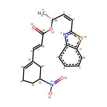 C[C@H](/C=C\c1nc2ccccc2s1)OC(=O)/C=C/C1=CCCC([N+](=O)[O-])C1